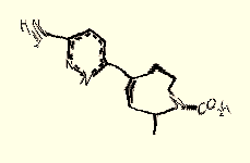 CC1C=C(c2ccc(N)nn2)CCN1C(=O)O